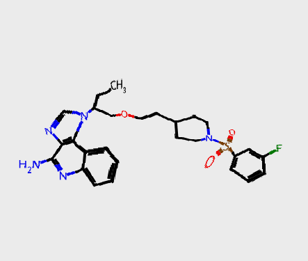 CCC(COCCC1CCN(S(=O)(=O)c2cccc(F)c2)CC1)n1cnc2c(N)nc3ccccc3c21